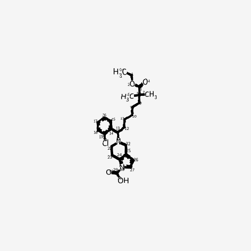 CCOC(=O)C(C)(C)CCCCCC(c1ccccc1Cl)N1CCc2c(ccn2C(=O)O)C1